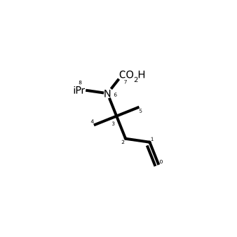 C=CCC(C)(C)N(C(=O)O)C(C)C